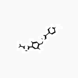 Nc1ccc(-c2cn(Cc3cc(F)c(-c4nnc(C(F)F)o4)cc3F)nn2)cn1